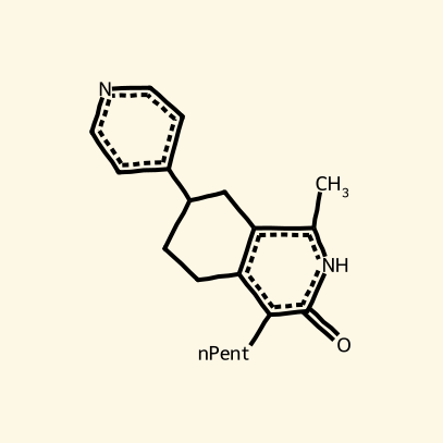 CCCCCc1c2c(c(C)[nH]c1=O)CC(c1ccncc1)CC2